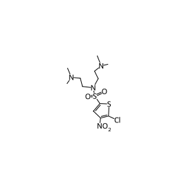 CN(C)CCN(CCN(C)C)S(=O)(=O)c1cc([N+](=O)[O-])c(Cl)s1